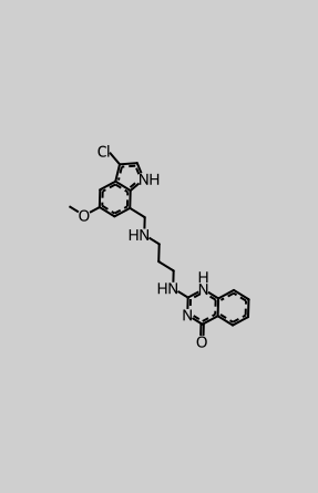 COc1cc(CNCCCNc2nc(=O)c3ccccc3[nH]2)c2[nH]cc(Cl)c2c1